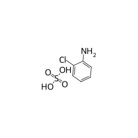 Nc1ccccc1Cl.O=S(=O)(O)O